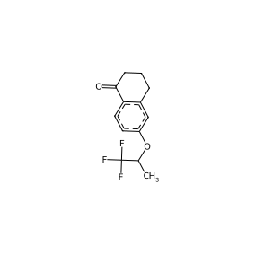 CC(Oc1ccc2c(c1)CCCC2=O)C(F)(F)F